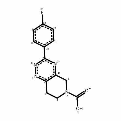 O=C(O)N1CCc2nnc(-c3ccc(F)cc3)nc2C1